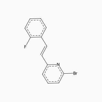 Fc1ccccc1C=Cc1cccc(Br)n1